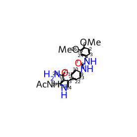 COc1ccc(NC(=O)Nc2ccc(-c3c[nH]c(NC(C)=O)c3C(N)=O)cc2)cc1OC